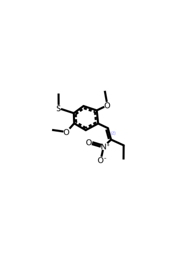 CC/C(=C/c1cc(OC)c(SC)cc1OC)[N+](=O)[O-]